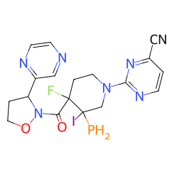 N#Cc1ccnc(N2CCC(F)(C(=O)N3OCCC3c3cnccn3)C(P)(I)C2)n1